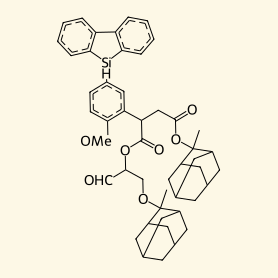 COc1ccc([SiH]2c3ccccc3-c3ccccc32)cc1C(CC(=O)OC1(C)C2CC3CC(C2)CC1C3)C(=O)OC(C=O)COC1(C)C2CC3CC(C2)CC1C3